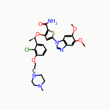 COc1cc2ncn(-c3cc(O[C@H](C)c4cccc(OCCN5CCN(C)CC5)c4Cl)c(C(N)=O)s3)c2cc1OC